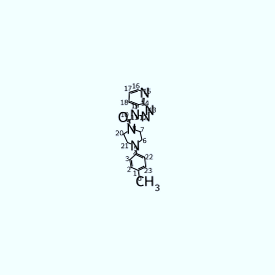 Cc1ccc(N2CCN(C(=O)n3nnc4ncccc43)CC2)cc1